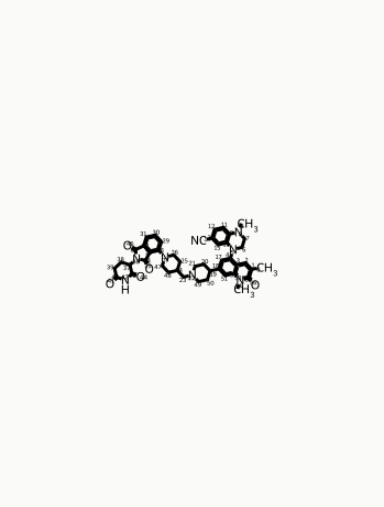 Cc1cc2c(N3CCN(C)c4ccc(C#N)cc43)cc(C3CCN(CC4CCN(c5cccc6c5C(=O)N(C5CCC(=O)NC5=O)C6=O)CC4)CC3)cc2n(C)c1=O